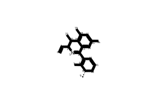 C=CC1N=C(C2=C(C)[C@@H](C)CC=C2)c2cc(C)cc(C)c2C1C